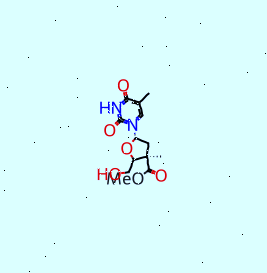 COC(=O)[C@]1(C)C[C@@H](n2cc(C)c(=O)[nH]c2=O)OC1CO